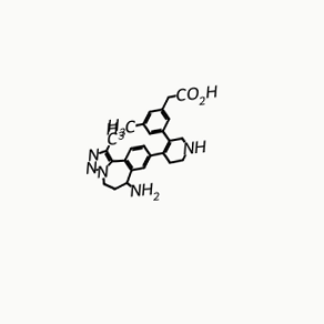 Cc1cc(CC(=O)O)cc(C2=C(c3ccc4c(c3)C(N)CCn3nnc(C)c3-4)CCNC2)c1